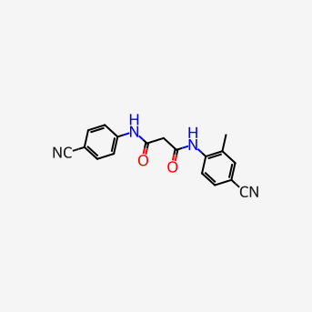 Cc1cc(C#N)ccc1NC(=O)CC(=O)Nc1ccc(C#N)cc1